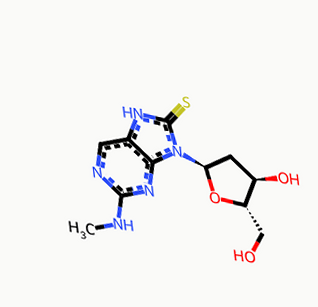 CNc1ncc2[nH]c(=S)n([C@H]3C[C@@H](O)[C@H](CO)O3)c2n1